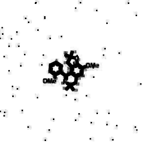 COc1ccccc1C1=NC(C)(C)Cc2cc(OC)c3c(c21)CC(C)(C)O3